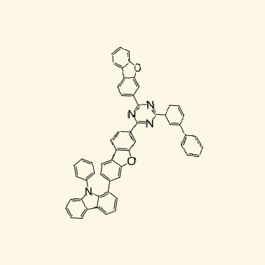 C1=CC(c2ccccc2)=CC(c2nc(-c3ccc4c(c3)oc3ccccc34)nc(-c3ccc4c(c3)oc3cc(-c5cccc6c7ccccc7n(-c7ccccc7)c56)ccc34)n2)C1